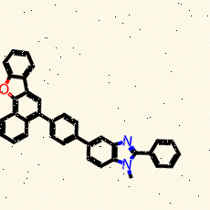 Cn1c(-c2ccccc2)nc2cc(-c3ccc(-c4cc5c6ccccc6oc5c5ccccc45)cc3)ccc21